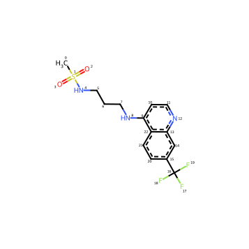 CS(=O)(=O)NCCCNc1ccnc2cc(C(F)(F)F)ccc12